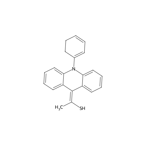 CC(S)=C1c2ccccc2N(C2=CC=CCC2)c2ccccc21